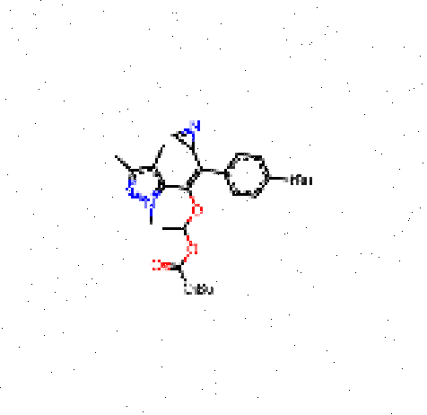 Cc1nn(C)c(/C(OC(C)OC(=O)OCC(C)C)=C(/c2ccc(C(C)(C)C)cc2)C2C=N2)c1C